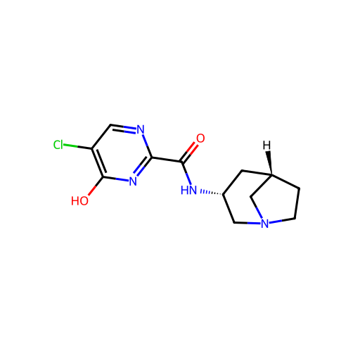 O=C(N[C@@H]1C[C@@H]2CCN(C2)C1)c1ncc(Cl)c(O)n1